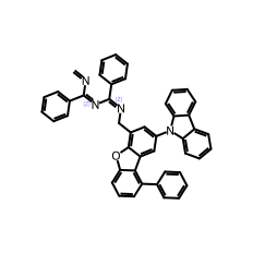 C=N/C(=N\C(=N/Cc1cc(-n2c3ccccc3c3ccccc32)cc2c1oc1cccc(-c3ccccc3)c12)c1ccccc1)c1ccccc1